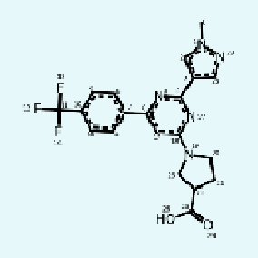 Cn1cc(-c2nc(-c3ccc(C(F)(F)F)cc3)cc(N3CCC(C(=O)O)C3)n2)cn1